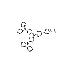 Cc1ccc(-c2ccc(-n3c4ccc(-n5c6ccccc6c6ccccc65)cc4c4cc(-n5c6ccccc6c6ccccc65)ccc43)nc2)cc1